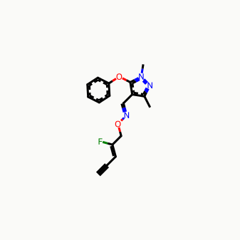 C#CC=C(F)CON=Cc1c(C)nn(C)c1Oc1ccccc1